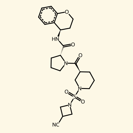 N#CC1CN(S(=O)(=O)N2CCC[C@H](C(=O)N3CCC[C@@H]3C(=O)N[C@@H]3CCOc4ccccc43)C2)C1